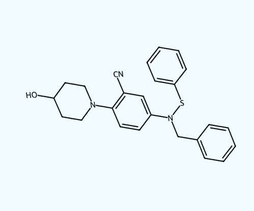 N#Cc1cc(N(Cc2ccccc2)Sc2ccccc2)ccc1N1CCC(O)CC1